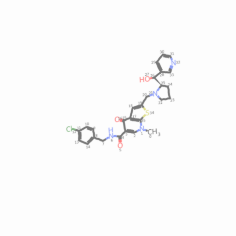 Cn1cc(C(=O)NCc2ccc(Cl)cc2)c(=O)c2cc(CN3CCC[C@@H]3C(O)c3cccnc3)sc21